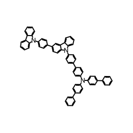 c1ccc(-c2ccc(N(c3ccc(-c4ccccc4)cc3)c3ccc(-c4ccc(-n5c6ccccc6c6cc(-c7ccc(-n8c9ccccc9c9ccccc98)cc7)ccc65)cc4)cc3)cc2)cc1